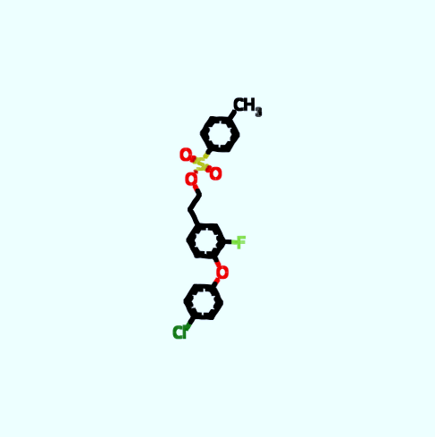 Cc1ccc(S(=O)(=O)OCCc2ccc(Oc3ccc(Cl)cc3)c(F)c2)cc1